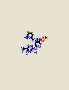 C=C(C#N)/C=N\C(=C/N)Nc1cc(NCC2CCCCN2)c(COOC)cn1